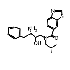 CC(C)CN(C[C@@H](O)[C@@H](N)Cc1ccccc1)C(=O)c1ccc2ncsc2c1